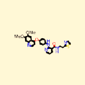 COc1cc2nccc(Oc3ccc(Nc4ncccc4C(=O)NCCc4nccs4)cc3)c2cc1OC